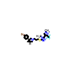 Cn1cc(-c2nnc(SCCCN3C[C@@H]4C[C@]4(c4ccc(Br)cc4)C3)n2C)c(C(F)(F)F)n1